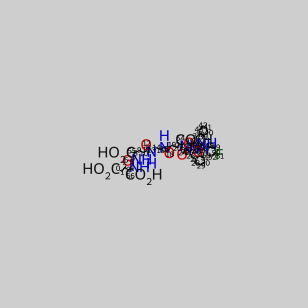 O=C(O)CC[C@H](NC(=O)NC(CCC(=O)NCCNC(=O)CC[C@@H](NC(=O)C(Cc1ccccc1)NC(=O)C(Cc1ccccc1)NC(=O)c1ccc(F)cc1)C(=O)O)C(=O)O)C(=O)O